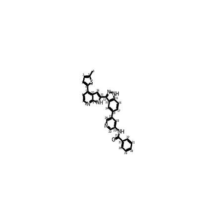 Cc1ccc(-c2ccnc3[nH]c(-c4n[nH]c5ccc(-c6cncc(NC(=O)c7ccccc7)c6)cc45)cc23)s1